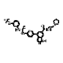 O=C(Nc1ccc(-c2cc(C(=O)NCCN3CCCC3)cc3[nH]ncc23)cc1)Nc1cccc(OC(F)(F)F)c1